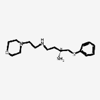 N[C@H](CCNCCN1CCOCC1)CSc1ccccc1